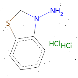 Cl.Cl.NN1CSc2ccccc21